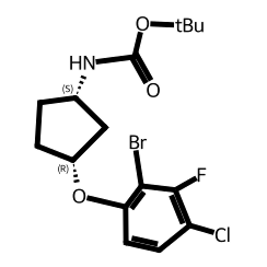 CC(C)(C)OC(=O)N[C@H]1CC[C@@H](Oc2ccc(Cl)c(F)c2Br)C1